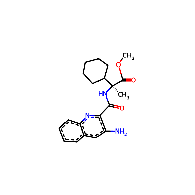 COC(=O)[C@@](C)(NC(=O)c1nc2ccccc2cc1N)C1CCCCC1